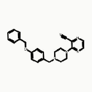 N#Cc1nccnc1N1CCN(Cc2ccc(OCc3ccccc3)cc2)CC1